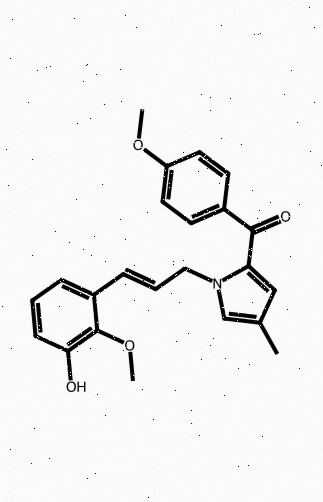 COc1ccc(C(=O)c2cc(C)cn2C/C=C/c2cccc(O)c2OC)cc1